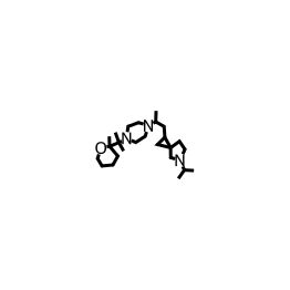 CC(C)N1CCC2(CC2CC(C)N2CCN(C(C)(C)C3(C)CCCCO3)CC2)C1